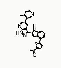 CC(=O)c1ccc(-c2cccc3[nH]c(-c4n[nH]c5ncc(-c6cnccc6C)cc45)cc23)s1